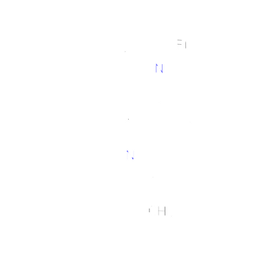 CCn1ccc2nc(C)ccc21